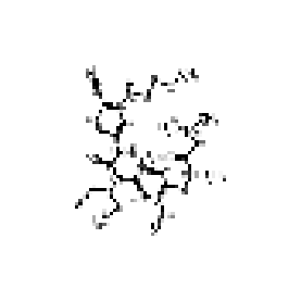 CCC(CF)N(C(=O)Nc1cc(NCCOC)c(C#N)cn1)c1nc(C=O)c(CN(C)C(=O)CN(C)C)cc1C